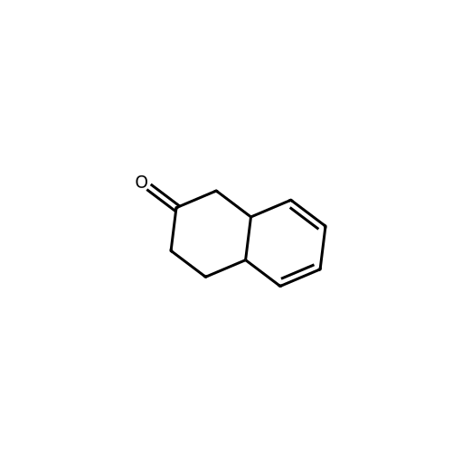 O=C1CCC2C=CC=CC2C1